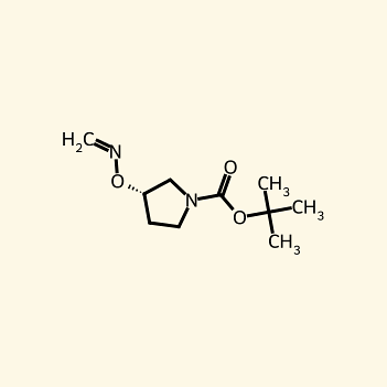 C=NO[C@H]1CCN(C(=O)OC(C)(C)C)C1